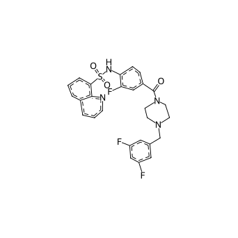 O=C(c1ccc(NS(=O)(=O)c2cccc3cccnc23)c(F)c1)N1CCN(Cc2cc(F)cc(F)c2)CC1